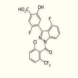 O=C(O)c1cc(F)c(-c2nn(C(=O)c3c(Cl)cccc3C(F)(F)F)c3cccc(F)c23)cc1O